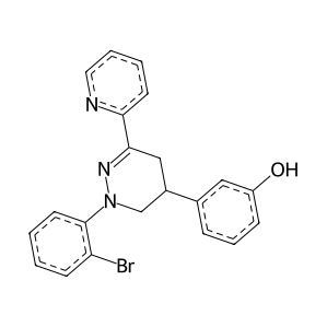 Oc1cccc(C2CC(c3ccccn3)=NN(c3ccccc3Br)C2)c1